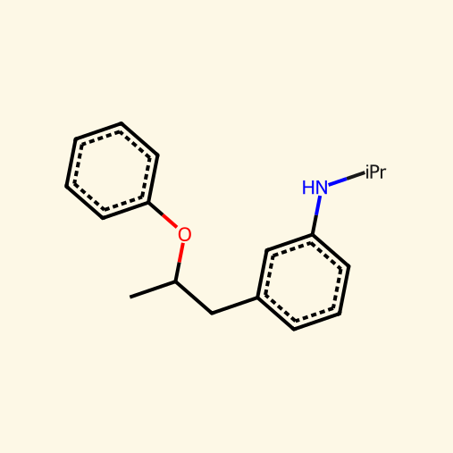 CC(C)Nc1cccc(CC(C)Oc2ccccc2)c1